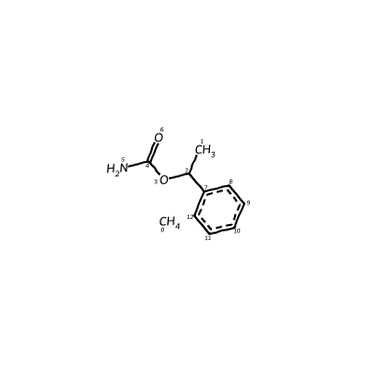 C.CC(OC(N)=O)c1ccccc1